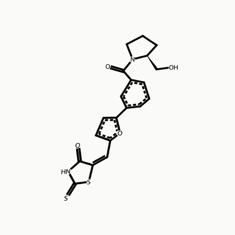 O=C1NC(=S)SC1=Cc1ccc(-c2cccc(C(=O)N3CCC[C@H]3CO)c2)o1